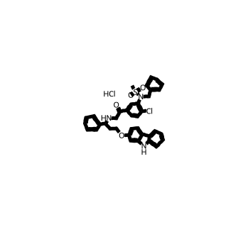 CS(=O)(=O)N(Cc1ccccc1)c1cc(C(=O)CNC(CCOc2ccc3c(c2)[nH]c2ccccc23)c2ccccc2)ccc1Cl.Cl